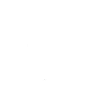 CCOC(=O)c1cnn(-c2c(F)cccc2F)c1C(F)(F)F